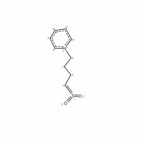 O=S(=O)=CCCC[n+]1ccccc1